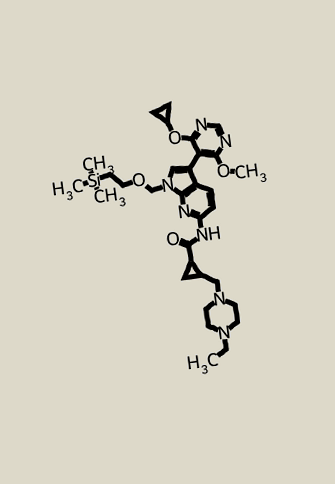 CCN1CCN(CC2CC2C(=O)Nc2ccc3c(-c4c(OC)ncnc4OC4CC4)cn(COCC[Si](C)(C)C)c3n2)CC1